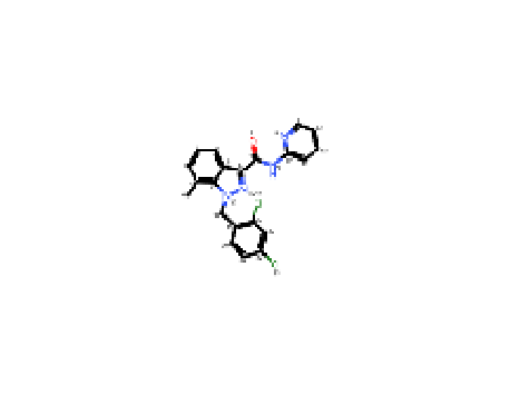 Cc1cccc2c(C(=O)Nc3ccccn3)nn(Cc3ccc(Cl)cc3Cl)c12